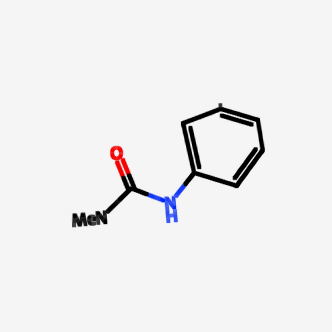 CNC(=O)Nc1c[c]ccc1